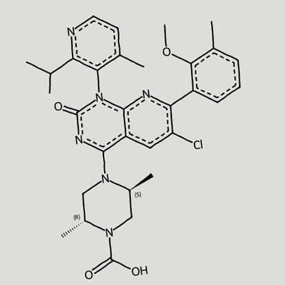 COc1c(C)cccc1-c1nc2c(cc1Cl)c(N1C[C@@H](C)N(C(=O)O)C[C@@H]1C)nc(=O)n2-c1c(C)ccnc1C(C)C